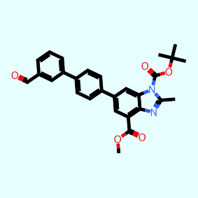 COC(=O)c1cc(-c2ccc(-c3cccc(C=O)c3)cc2)cc2c1nc(C)n2C(=O)OC(C)(C)C